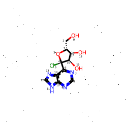 OC[C@H]1O[C@@](Cl)(c2ncnc3[nH]cnc23)[C@H](O)[C@@H]1O